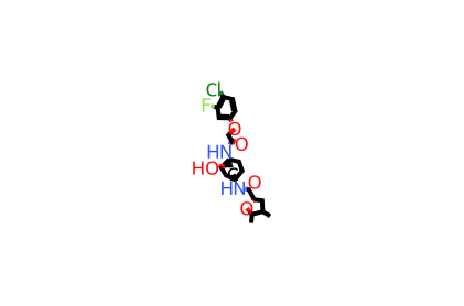 CC1CC(C(=O)NC23CCC(NC(=O)COc4ccc(Cl)c(F)c4)(CC2)C(O)C3)OC1C